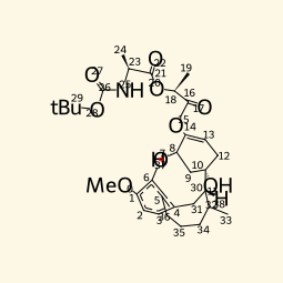 COc1ccc2c3c1O[C@@H]1C[C@@](O)(CC=C1OC(=O)[C@H](C)OC(=O)[C@H](C)NC(=O)OC(C)(C)C)[C@@H](C2)C(C)CCC3